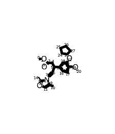 COC(=O)CC(C#CN1C(C)=CO[C@H]1C)c1ccc(OC)c(OC2CCCC2)c1